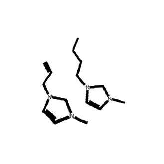 C=CCN1C=CN(C)C1.CCCCN1C=CN(C)C1